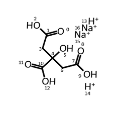 O=C(O)CC(O)(CC(=O)O)C(=O)O.[H+].[H+].[Na+].[Na+]